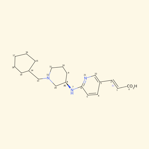 O=C(O)/C=C/c1ccc(N[C@@H]2CCCN(CC3CCCCC3)C2)nc1